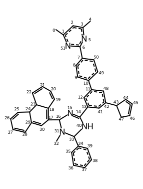 Cc1cc(C)nc(-c2ccc(-c3cc(C4=NC(C5=C6C=CC=CC6C6C=CC=CC6=C5)N(C)C(c5ccccc5)N4)cc(C4C=C=CC4)c3)cc2)n1